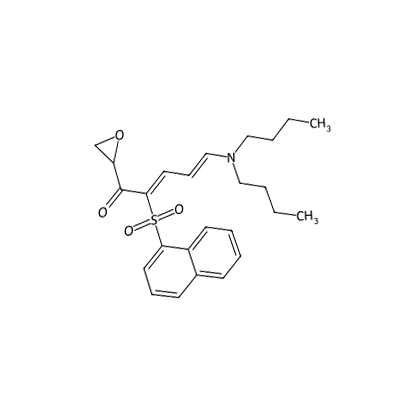 CCCCN(/C=C/C=C(/C(=O)C1CO1)S(=O)(=O)c1cccc2ccccc12)CCCC